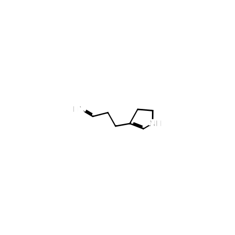 N=CCCC1=CNCC1